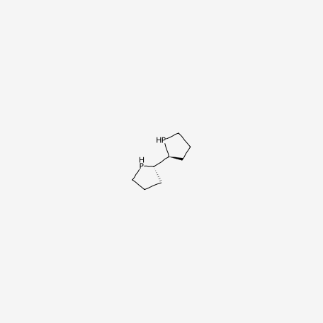 C1CP[C@H]([C@@H]2CCCP2)C1